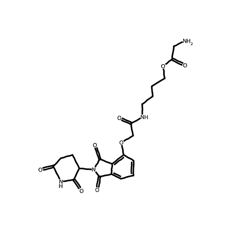 NCC(=O)OCCCCNC(=O)COc1cccc2c1C(=O)N(C1CCC(=O)NC1=O)C2=O